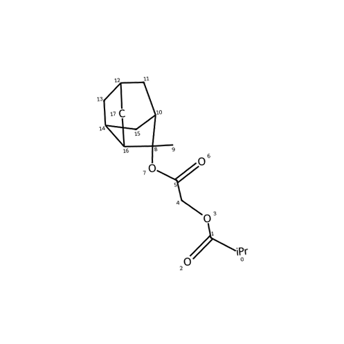 CC(C)C(=O)OCC(=O)OC1(C)C2CC3CC(C2)C1C3